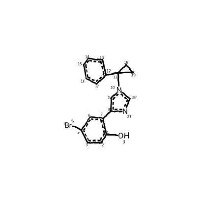 Oc1ccc(Br)cc1-c1cn(C2(c3ccccc3)CC2)cn1